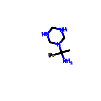 CC(C)C(C)(N)N1CNCNC1